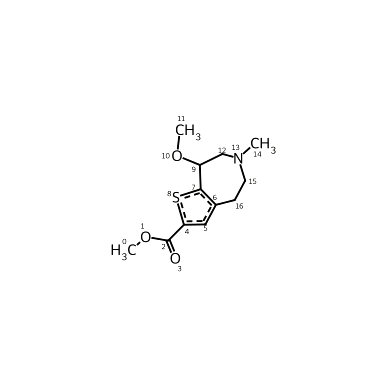 COC(=O)c1cc2c(s1)C(OC)CN(C)CC2